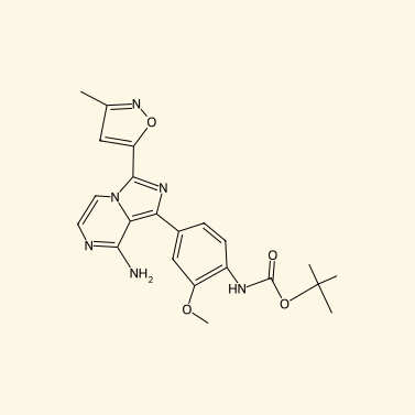 COc1cc(-c2nc(-c3cc(C)no3)n3ccnc(N)c23)ccc1NC(=O)OC(C)(C)C